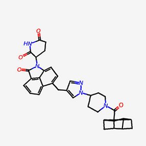 O=C1CCC(N2C(=O)c3cccc4c(Cc5cnn(C6CCN(C(=O)C78C9CC7C7CC9C78)CC6)c5)ccc2c34)C(=O)N1